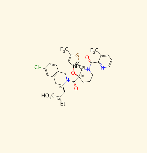 CCC[C@H]1N(C(=O)c2ncccc2C(F)(F)F)CCC[C@]1(Oc1csc(C(F)(F)F)c1)C(=O)N1Cc2ccc(Cl)cc2C[C@@H]1C[C@H](CC)C(=O)O